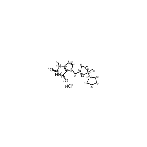 Cl.Cn1c(=O)[nH]c(=O)c2c1ncn2CC1COC(C)(N2CCCC2)O1